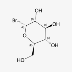 OC[C@H]1O[C@H](Br)[C@H](O)[C@@H](O)[C@@H]1O